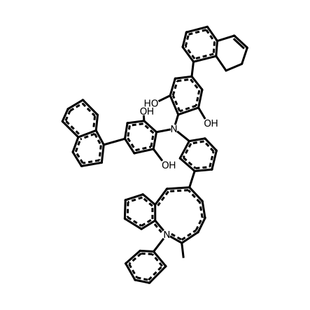 Cc1cccc(-c2cccc(N(c3c(O)cc(-c4cccc5c4CCC=C5)cc3O)c3c(O)cc(-c4cccc5ccccc45)cc3O)c2)cc2ccccc2n1-c1ccccc1